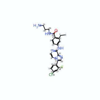 CCc1cc(Nc2nccn3c(-c4ccc(Cl)cc4F)cnc23)ccc1C(=O)NCCCN